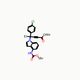 CCC(C#CC(=O)OC)(c1ccc(Cl)cc1)n1ccc2c(NC(=O)OC(C)(C)C)cccc21